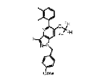 [2H]C([2H])([2H])Oc1cc2c(nc1-c1cccc(C)c1C)c(I)nn2Cc1ccc(OC)cc1